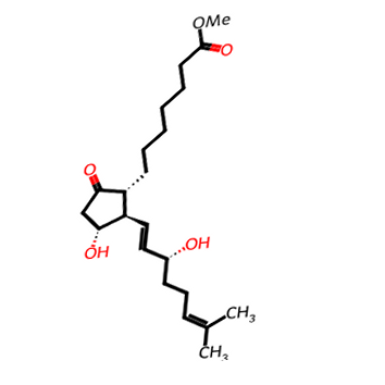 COC(=O)CCCCCC[C@H]1C(=O)C[C@@H](O)[C@@H]1C=C[C@H](O)CCC=C(C)C